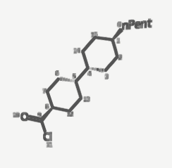 CCCCC[C@H]1CC[C@H]([C@H]2CC[C@H](C(=O)Cl)CC2)CC1